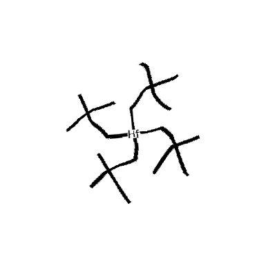 CC(C)(C)[CH2][Hf]([CH2]C(C)(C)C)([CH2]C(C)(C)C)[CH2]C(C)(C)C